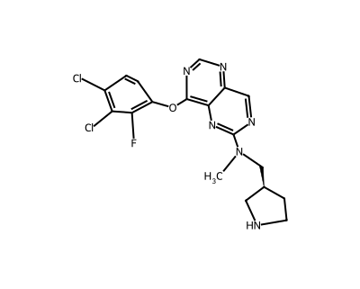 CN(C[C@H]1CCNC1)c1ncc2ncnc(Oc3ccc(Cl)c(Cl)c3F)c2n1